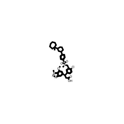 COc1cc(C(CC(=O)O)c2ccc(Cl)c(CN(C)S(=O)(=O)c3ccc(C4CCCC(C5(C)CCCCCC5)C4)cc3)c2)cc2nnn(C)c12